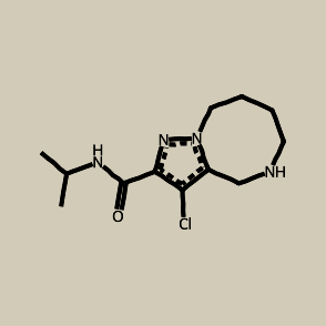 CC(C)NC(=O)c1nn2c(c1Cl)CNCCCC2